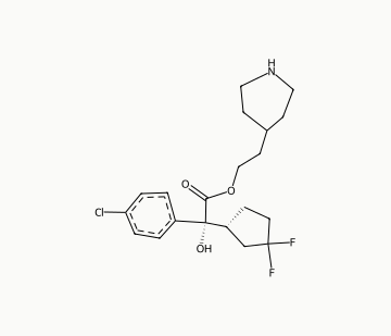 O=C(OCCC1CCNCC1)[C@](O)(c1ccc(Cl)cc1)[C@@H]1CCC(F)(F)C1